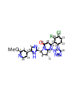 COc1cc(-c2cnc([C@@H]3C[C@@H](C)c4nc(-c5c(-n6cnnn6)ccc(Cl)c5F)cc(=O)n43)[nH]2)ccn1